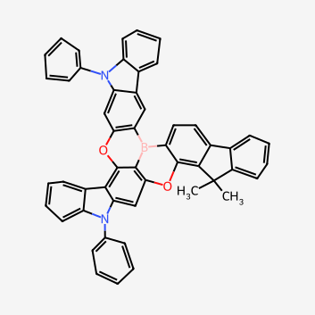 CC1(C)c2ccccc2-c2ccc3c(c21)Oc1cc2c(c4c1B3c1cc3c5ccccc5n(-c5ccccc5)c3cc1O4)c1ccccc1n2-c1ccccc1